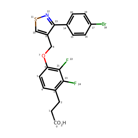 O=C(O)CCc1ccc(OCc2csnc2-c2ccc(Br)cc2)c(F)c1F